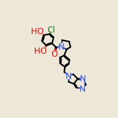 O=C(c1cc(Cl)c(O)cc1O)N1CCCC1c1ccc(CN2Cc3cncnc3C2)cc1